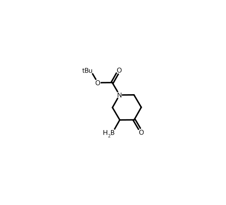 BC1CN(C(=O)OC(C)(C)C)CCC1=O